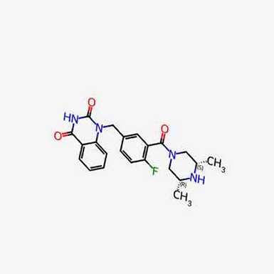 C[C@@H]1CN(C(=O)c2cc(Cn3c(=O)[nH]c(=O)c4ccccc43)ccc2F)C[C@H](C)N1